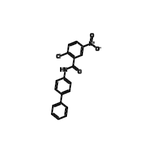 O=C(Nc1ccc(-c2ccccc2)cc1)c1cc([N+](=O)[O-])ccc1Cl